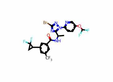 CC(NC(=O)c1cc(C2CC2(F)F)cc(C(F)(F)F)c1)c1nc(Br)nn1-c1ccc(OC(F)F)cn1